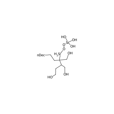 CCCCCCCCCCCCC(CO)([SiH2]OO[Si](O)(O)O)C(CO)CCO